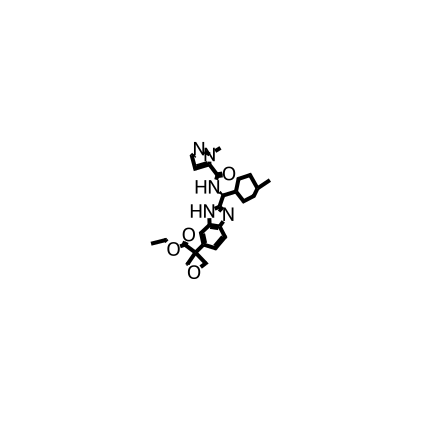 CCOC(=O)C1(c2ccc3nc([C@@H](NC(=O)c4ccnn4C)C4CCC(C)CC4)[nH]c3c2)COC1